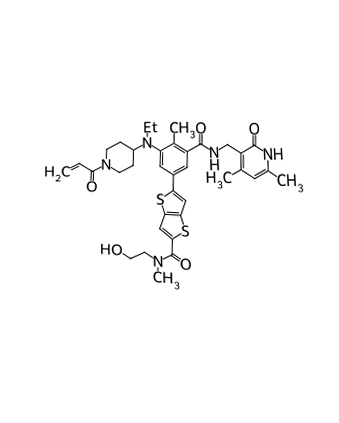 C=CC(=O)N1CCC(N(CC)c2cc(-c3cc4sc(C(=O)N(C)CCO)cc4s3)cc(C(=O)NCc3c(C)cc(C)[nH]c3=O)c2C)CC1